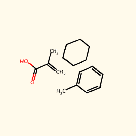 C1CCCCC1.C=C(C)C(=O)O.Cc1ccccc1